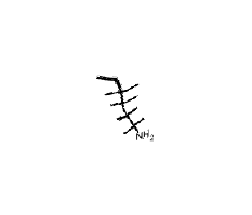 CCC(C)(C)C(C)(C)C(C)(C)C(C)(C)N